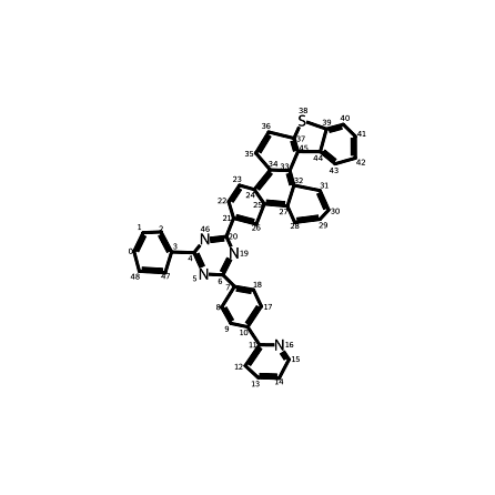 c1ccc(-c2nc(-c3ccc(-c4ccccn4)cc3)nc(-c3ccc4c(c3)c3ccccc3c3c4ccc4sc5ccccc5c43)n2)cc1